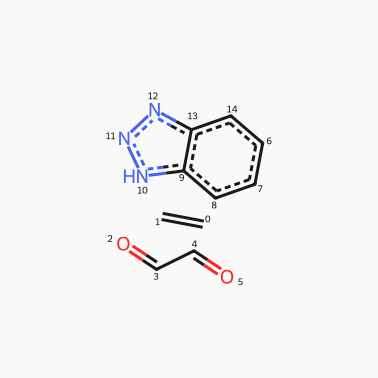 C=C.O=CC=O.c1ccc2[nH]nnc2c1